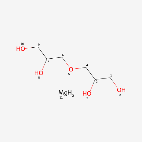 OCC(O)COCC(O)CO.[MgH2]